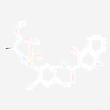 CCO[P@](=O)(N[C@@H](C)C(=O)OC(C)C)Oc1cc(NC(=O)c2c[nH]c3ccccc3c2=O)c(C(C)(C)C)cc1C(C)(C)C